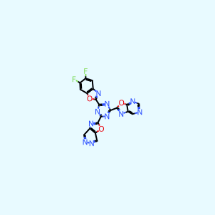 Fc1cc2nc(-c3nc(-c4nc5cnncc5o4)nc(-c4nc5cncnc5o4)n3)oc2cc1F